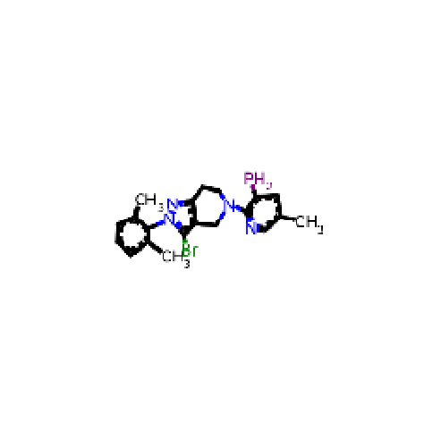 Cc1cnc(N2CCc3nn(-c4c(C)cccc4C)c(Br)c3C2)c(P)c1